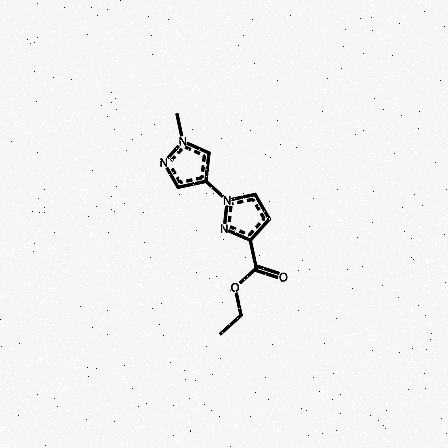 CCOC(=O)c1ccn(-c2cnn(C)c2)n1